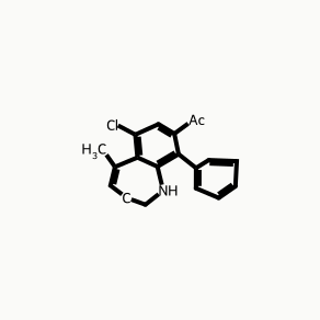 CC(=O)c1cc(Cl)c2c(c1-c1ccccc1)NCCC=C2C